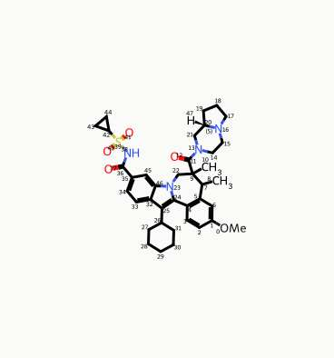 COc1ccc2c(c1)C(C)C(C)(C(=O)N1CCN3CCC[C@H]3C1)Cn1c-2c(C2CCCCC2)c2ccc(C(=O)NS(=O)(=O)C3CC3)cc21